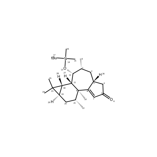 C[C@@H]1C[C@@H]2CC(=O)C=C2[C@]2(C)[C@@H]([C@@H]1O[Si](C)(C)C(C)(C)C)[C@@H]1[C@@H](C[C@H]2C)C1(C)C